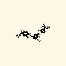 CC(C)(C)c1cc(COc2ccc(C(=N)N)cc2F)cc(COc2ccc(C(=N)N)cc2F)c1